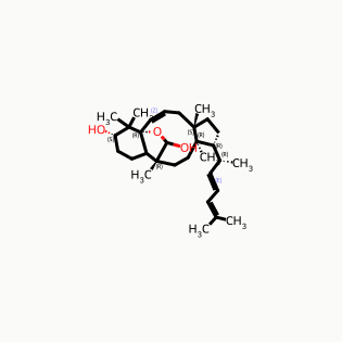 CC(C)=C/C=C/[C@@H](C)[C@H]1CC[C@@]2(C)C/C=C\[C@@]34OC(O)[C@](C)(CC[C@]12C)C3CC[C@H](O)C4(C)C